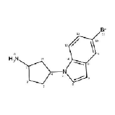 NC1CCC(n2ccc3cc(Br)ccc32)C1